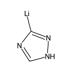 [Li][c]1nc[nH]n1